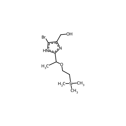 CC(OCC[Si](C)(C)C)c1nc(CO)c(Br)[nH]1